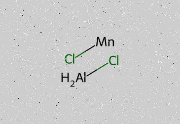 [AlH2][Cl].[Cl][Mn]